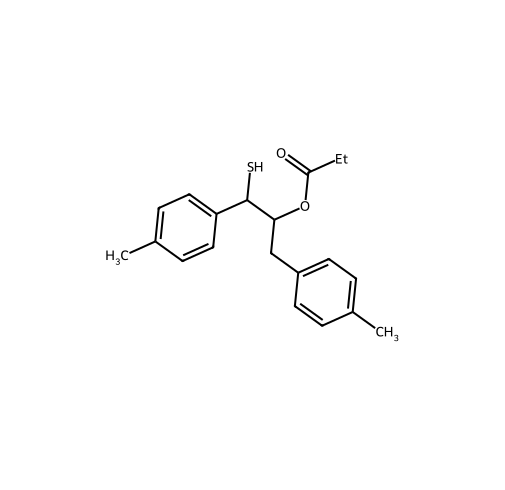 CCC(=O)OC(Cc1ccc(C)cc1)C(S)c1ccc(C)cc1